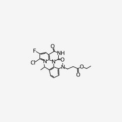 CCOC(=O)CCN(C)c1cccc(C(C)C)c1-n1c(=O)[nH]c(=O)c2cc(F)c(Cl)nc21